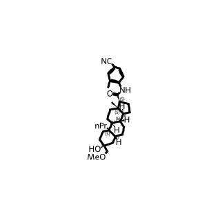 CCC[C@]12CC[C@](O)(COC)C[C@@H]1CC[C@H]1[C@@H]3CC[C@H](C(=O)Nc4ccc(C#N)cc4C)[C@@]3(C)CC[C@@H]12